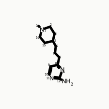 CN1CCC(CCCc2ccnc(N)n2)CC1